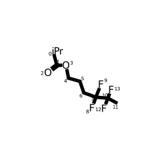 CC(C)C(=O)OCCCC(F)(F)C(C)(F)F